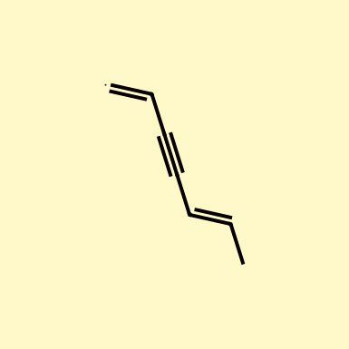 [CH]=CC#CC=CC